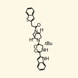 CC(C)(C)[C@H](NC(=O)c1cc2ccccc2[nH]1)C(=O)N1C[C@@H]2C[C@H]1CN2C(=O)Cc1cc2ccccc2s1